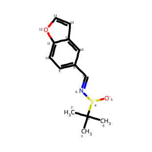 CC(C)(C)[S+]([O-])N=Cc1ccc2occc2c1